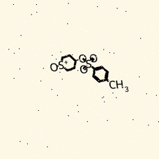 Cc1ccc(S(=O)(=O)O[C@H]2CC[S@@+]([O-])CC2)cc1